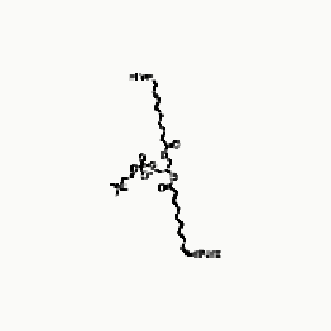 CCCCC/C=C\CCCCCCCC(=O)O[C@H](COC(=O)CCCCCCCCCCCCCCCCCC)COP(=O)([O-])OCC[N+](C)(C)C